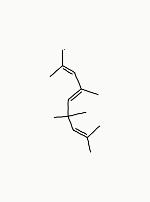 [CH2]C(C)=CC(C)=CC(C)(C)C=C(C)C